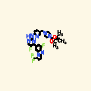 CC(C)(C)OC(=O)N1CCN(Cc2ccc(Nc3ncc(F)c(-c4cc(F)c5nc6n(c5c4)[C@H](C(F)F)CC6)n3)nc2)CC1